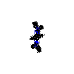 CC(C)(C)c1cc2cc(-c3ncc(N(c4ccccc4)c4ccc5ccccc5c4)cn3)c3cc(C(C)(C)C)cc4cc(-c5ncc(N(c6ccccc6)c6ccc7ccccc7c6)cn5)c(c1)c2c43